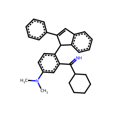 CN(C)c1ccc(C2C(c3ccccc3)=Cc3ccccc32)c(C(=N)C2CCCCC2)c1